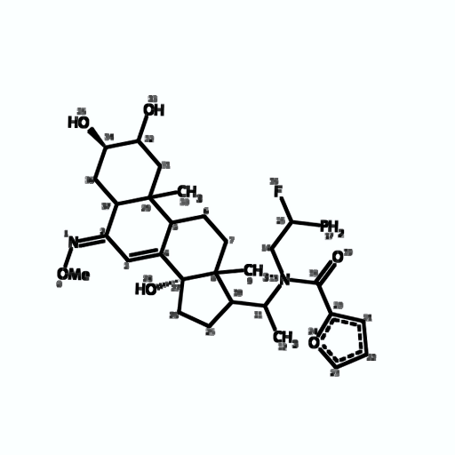 CO/N=C1\C=C2C(CCC3(C)C(C(C)N(CC(F)P)C(=O)c4ccco4)CC[C@@]23O)C2(C)CC(O)[C@H](O)CC12